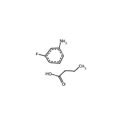 CCCC(=O)O.Nc1cccc(F)c1